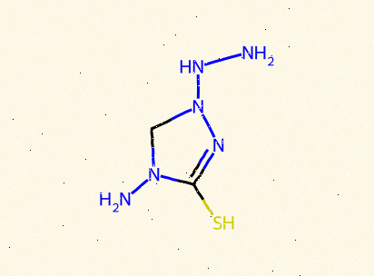 NNN1CN(N)C(S)=N1